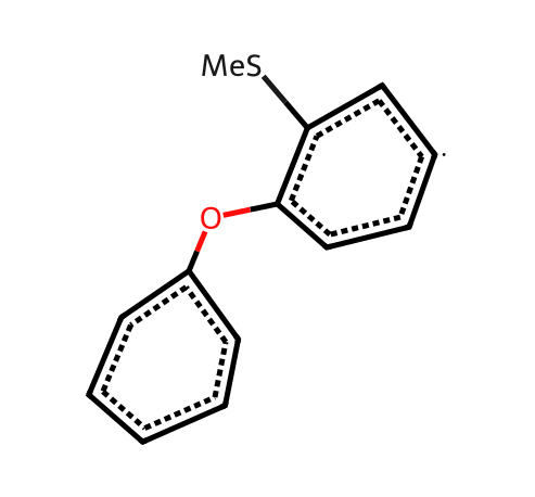 CSc1c[c]ccc1Oc1ccccc1